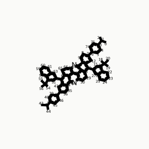 CC(C)c1ccc(-c2ccc3c(c2)c(-c2cc(C(C)(C)C)c4ccccc4c2)c2ccc4nc5c6ccc(-c7ccc(C(C)C)cc7)cc6c(-c6cc(C(C)(C)C)c7ccccc7c6)c6ccc7nc3c2c4c7c65)cc1